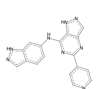 c1cc(-c2nc(Nc3ccc4cn[nH]c4c3)c3[nH]ncc3n2)ccn1